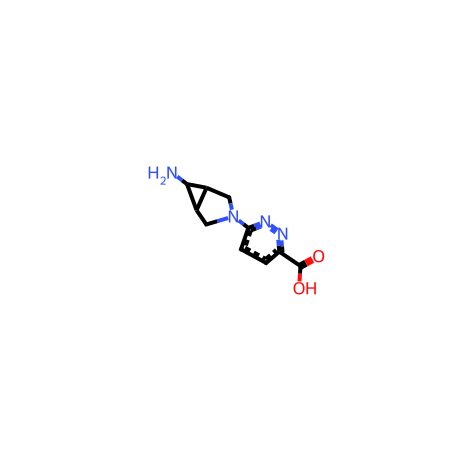 NC1C2CN(c3ccc(C(=O)O)nn3)CC12